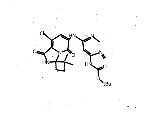 C=N/C(=C\C(=N/C)Nc1cc(Cl)c2n(c1=O)C1(CCC1(C)C)NC2=O)NC(=O)OC(C)(C)C